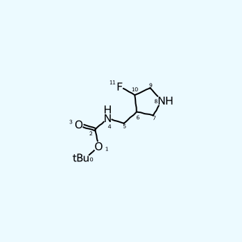 CC(C)(C)OC(=O)NCC1CNCC1F